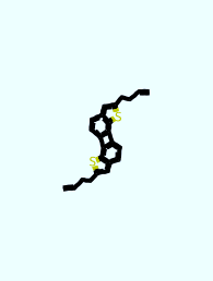 C=CCCc1cc2ccc3c(c2s1)-c1ccc2cc(CCC=C)sc2c1-3